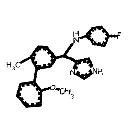 COc1ccccc1-c1cc(C(Nc2ccc(F)cc2)c2c[nH]cn2)ccc1C